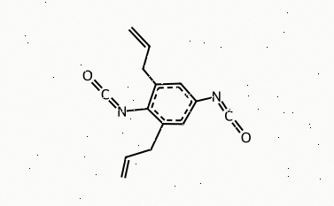 C=CCc1cc(N=C=O)cc(CC=C)c1N=C=O